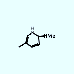 CNC1C=CC(C)=CN1